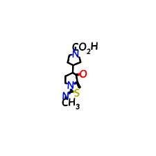 C/N=c1\scc2n1CCC(C1CCN(C(=O)O)CC1)C2=O